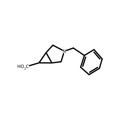 O=C(O)C1C2CN(Cc3ccccc3)CC21